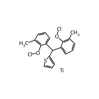 Cc1cccc(C(c2cccs2)c2cccc(C)c2OCl)c1OCl.[Ti]